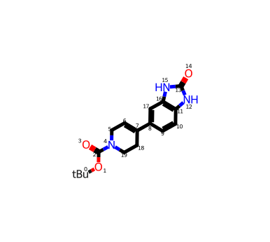 CC(C)(C)OC(=O)N1CC=C(c2ccc3[nH]c(=O)[nH]c3c2)CC1